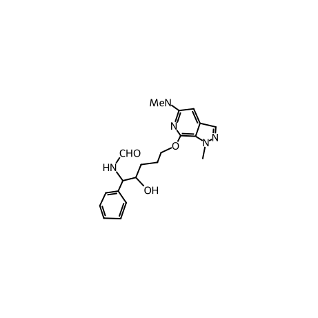 CNc1cc2cnn(C)c2c(OCCCC(O)C(NC=O)c2ccccc2)n1